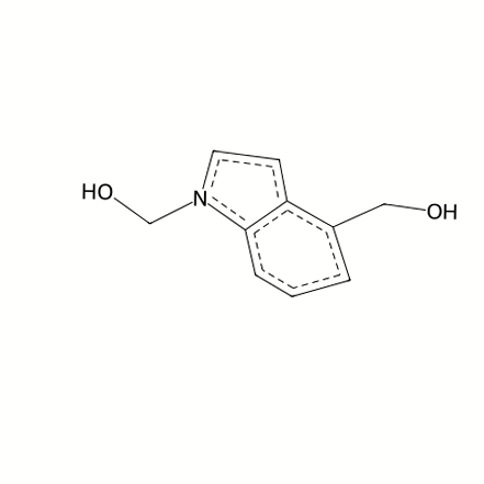 OCc1cccc2c1ccn2CO